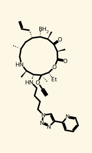 B[C@H]1[C@@H](CC=C)C[C@@H](C)CN[C@H](C)[C@@H](NCCCCn2cc(-c3ccccn3)nn2)[C@](C)(OC#C)[C@@H](CC)OC(=O)[C@H](C)C(=O)[C@@H]1C